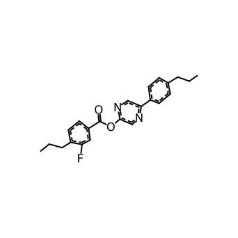 CCCc1ccc(-c2cnc(OC(=O)c3ccc(CCC)c(F)c3)cn2)cc1